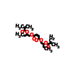 C=C(C)C(=O)OC(CC)COC(=O)/C=C\C(=O)OCC(CC)OC(=O)C(=C)C